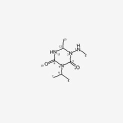 CNN1C(=O)N(C(C)C)C(=O)NC1C